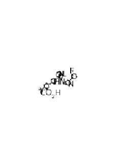 Cc1noc(-c2ccc(-c3ccc(C4(C(=O)O)CC4)cc3)cc2)c1Nc1ccnc(-c2cccc(F)c2)c1